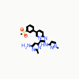 Cc1nc(N)cc(-c2c(Nc3ccn(C)n3)nc3ccc(-c4cccc(S(C)(=O)=O)c4)cn23)n1